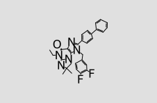 CCN1C(=O)c2nc(-c3ccc(-c4ccccc4)cc3)n(Cc3ccc(F)c(F)c3)c2N2CC(C)(C)N=C12